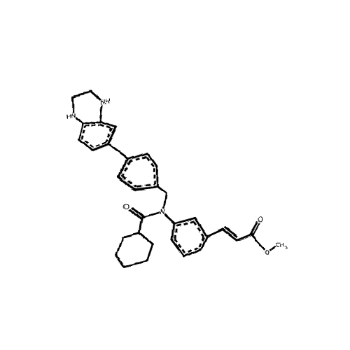 COC(=O)/C=C/c1cccc(N(Cc2ccc(-c3ccc4c(c3)NCCN4)cc2)C(=O)C2CCCCC2)c1